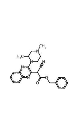 CC1CN(C)CCN1c1nc2ccccc2nc1C(C#N)C(=O)OCc1ccccc1